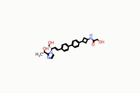 C[C@H](O)c1nccn1[C@@H](/C=C/c1ccc(-c2ccc(C3CC(NC(=O)CO)C3)cc2)cc1)CO